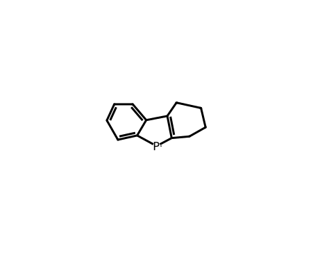 c1ccc2c(c1)[P]C1=C2CCCC1